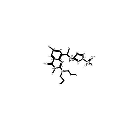 CCCN(CCC)c1nc2c(C(C)Nc3ccn(S(C)(=O)=O)n3)cc(C)cc2c(=O)n1C